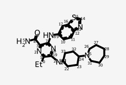 CCc1nc(C(N)=O)c(Nc2ccc3ncsc3c2)nc1NC1CCC(N2CCCCCC2)CC1